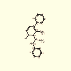 CC1C=CC(c2ccccc2)=C(N)C1C(N)Nc1ccccc1